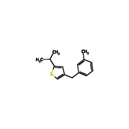 Cc1cccc(Cc2csc(C(C)C)c2)c1